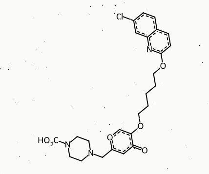 O=C(O)N1CCN(Cc2cc(=O)c(OCCCCCOc3ccc4ccc(Cl)cc4n3)co2)CC1